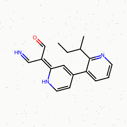 CCC(C)c1ncccc1C1=C/C(=C(/C=N)C=O)NC=C1